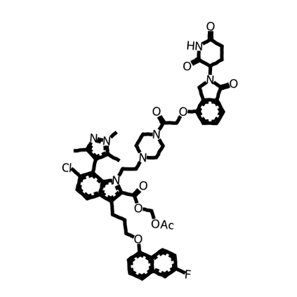 CC(=O)OCOC(=O)c1c(CCCOc2cccc3cc(F)ccc23)c2ccc(Cl)c(-c3c(C)nn(C)c3C)c2n1CCN1CCN(C(=O)COc2cccc3c2CN(C2CCC(=O)NC2=O)C3=O)CC1